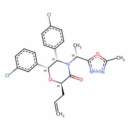 C=CC[C@H]1O[C@H](c2cccc(Cl)c2)[C@H](c2ccc(Cl)cc2)N([C@H](C)c2nnc(C)o2)C1=O